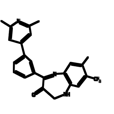 Cc1cc(-c2cccc(C3=Nc4cc(C)c(C(F)(F)F)cc4NCC3=O)c2)cc(C)n1